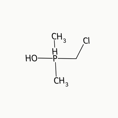 C[PH](C)(O)CCl